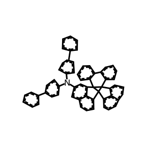 c1ccc(-c2ccc(N(c3ccc(-c4ccccc4)cc3)c3cc4c5c(cccc5c3)C35c6cccc7cccc(c67)C36c3ccccc3-c3ccccc3C465)cc2)cc1